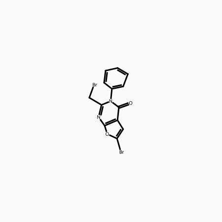 O=c1c2cc(Br)oc2nc(CBr)n1-c1ccccc1